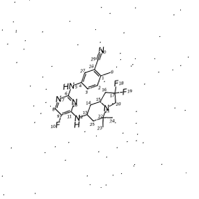 Cc1ccc(Nc2ncc(F)c(NC3CC4CC(F)(F)CN4C(C)(C)C3)n2)cc1C#N